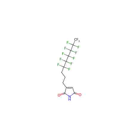 O=C1C=C(CCCC(F)(F)C(F)(F)C(F)(F)C(F)(F)C(F)(F)C(F)(F)F)C(=O)N1